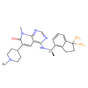 CC(=O)N1CCC(c2cc3c(N[C@H](C)c4cccc5c4CCC5(P)P)ncnc3n(C)c2=O)CC1